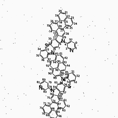 c1cncc(-n2c3cc4c(cc3c3c5cccc6c7cccc8cccc(c(cc32)c65)c87)sc2ccccc2n4-c2ccc3ccc4c(-n5c6ccccc6sc6cc7c8c9cccc%10c%11cccc%12cccc(c(cc8n(-c8cccnc8)c7cc65)c%109)c%12%11)ccc5ccc2c3c54)c1